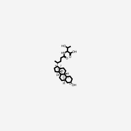 CC(O)C(NC(=O)CCC(C)[C@H]1CC[C@H]2[C@@H]3CC[C@@H]4C[C@H](O)CC[C@]4(C)[C@H]3CC[C@]12C)C(=O)O